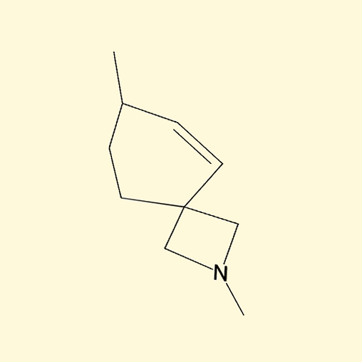 CC1C=CC2(CC1)CN(C)C2